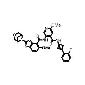 COc1cc(C(=O)NC23CC(c4ccccc4F)(C2)C3)c(NC(=O)c2c(OC)ccc3nc(N4C5COCC4C5)sc23)cn1